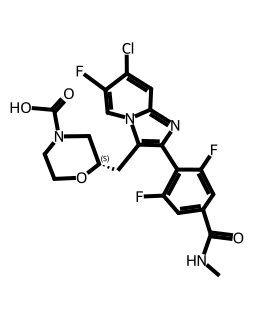 CNC(=O)c1cc(F)c(-c2nc3cc(Cl)c(F)cn3c2C[C@H]2CN(C(=O)O)CCO2)c(F)c1